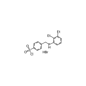 Br.CCc1cccc(PCc2ccc(S(=O)(=O)Cl)cc2)c1CC